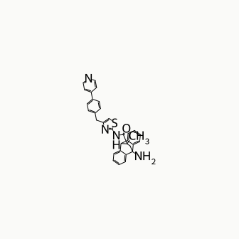 CC1(C(=O)Nc2nc(Cc3ccc(-c4ccncc4)cc3)cs2)CC2(N)c3ccccc3C1c1ccccc12